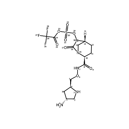 N[C@H]1CN[C@H](CONC(=O)[C@@H]2CC[C@@H]3CN2C(=O)N3OS(=O)(=O)OC(=O)C(F)(F)F)C1